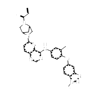 C=CC(=O)N1CC2CC1CN2c1ccc2ncnc(Nc3ccc(Oc4ccc5c(c4)nnn5C)c(C)c3)c2n1